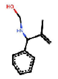 C=C(C)C(NCO)c1ccccc1